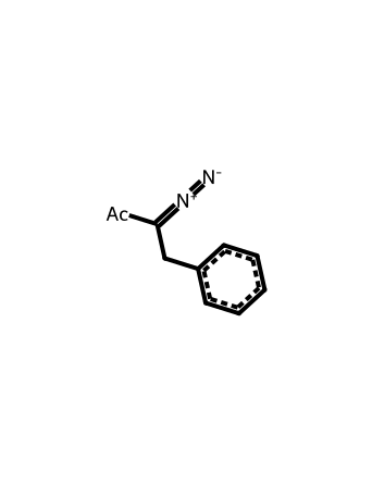 CC(=O)C(Cc1ccccc1)=[N+]=[N-]